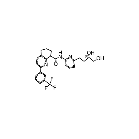 O=C(Nc1cccc(CC[C@@H](O)CO)n1)C1CCCc2ccc(-c3cccc(C(F)(F)F)c3)nc21